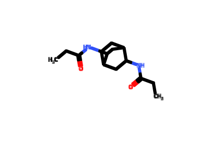 CCC(=O)NC1CC2CCC1CC2NC(=O)CC